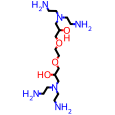 NCCN(CCN)CC(O)COCCOCC(O)CN(CCN)CCN